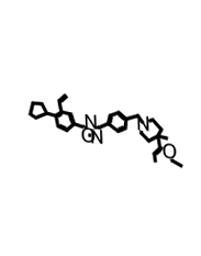 C=Cc1cc(-c2nc(-c3ccc(CN4CCC(C)(C(=CC)OCC)CC4)cc3)no2)ccc1C1CCCC1